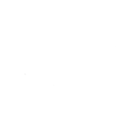 COc1ccc(C2(c3ccc(Oc4ccc(S(=O)(=O)c5ccc(C)cc5)cc4)cc3)CCCCC2)cc1